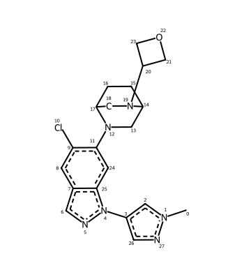 Cn1cc(-n2ncc3cc(Cl)c(N4CC5CCC4CN5C4COC4)cc32)cn1